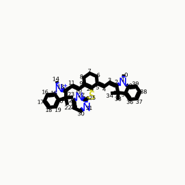 CN1/C(=C/C=C2\CCCC(/C=C/C3=[N+](C)c4ccccc4C3(C)C)=C2Sc2ncccn2)C(C)(C)c2ccccc21